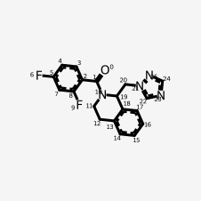 O=C(c1ccc(F)cc1F)N1CCc2ccccc2C1Cn1cncn1